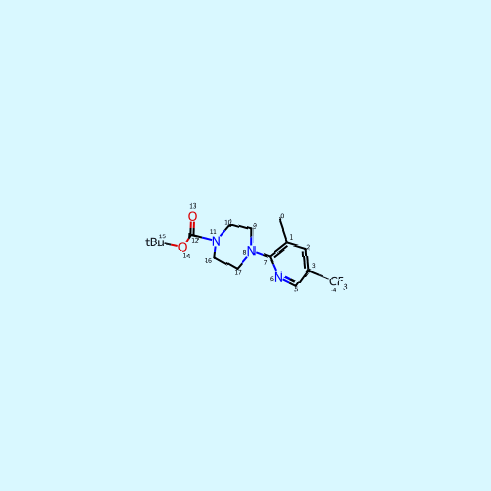 Cc1cc(C(F)(F)F)cnc1N1CCN(C(=O)OC(C)(C)C)CC1